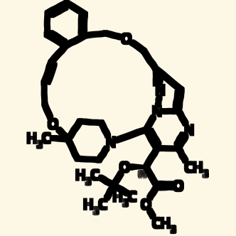 COC(=O)[C@@H](OC(C)(C)C)c1c(C)nc2cc3nn2c1N1CCC(C)(CC1)OCC=Cc1ccccc1COC3